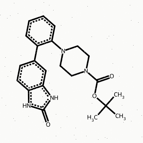 CC(C)(C)OC(=O)N1CCN(c2ccccc2-c2ccc3[nH]c(=O)[nH]c3c2)CC1